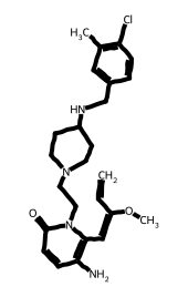 C=C/C(=C\c1c(N)ccc(=O)n1CCN1CCC(NCc2ccc(Cl)c(C)c2)CC1)OC